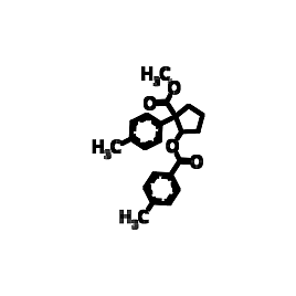 COC(=O)C1(c2ccc(C)cc2)CCCC1OC(=O)c1ccc(C)cc1